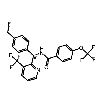 O=C(N[C@@H](c1ccc(CF)cc1)c1ncccc1C(F)(F)F)c1ccc(OC(F)(F)F)cc1